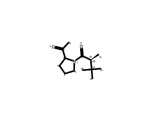 CC(=O)C1CCCN1C(=O)[C@@H](C)C(C)(C)C